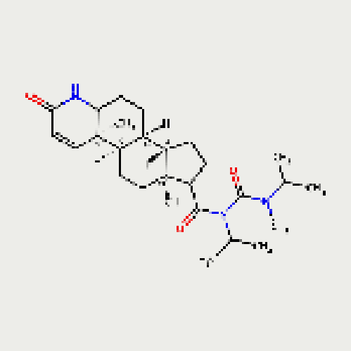 CC(C)N(C)C(=O)N(C(=O)C1CC[C@H]2[C@@H]3CCC4NC(=O)C=C[C@]4(C)[C@@H]3CC[C@]12C)C(C)C